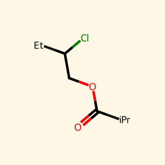 CCC(Cl)COC(=O)C(C)C